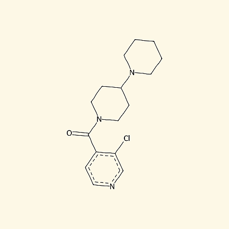 O=C(c1ccncc1Cl)N1CCC(N2CCCCC2)CC1